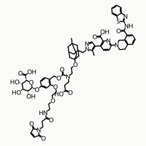 Cc1c(-c2ccc(N3CCc4cccc(C(=O)Nc5nc6ccccc6s5)c4C3)nc2C(=O)O)cnn1CC12CC3CC(C)(C1)CC(OCCN(CCC(=O)O)C(=O)OCc1ccc(O[C@@H]4O[C@H](C(=O)O)[C@@H](O)[C@H](O)[C@H]4O)cc1OCCOCCNC(=O)CCN1C(=O)C=CC1=O)(C3)C2